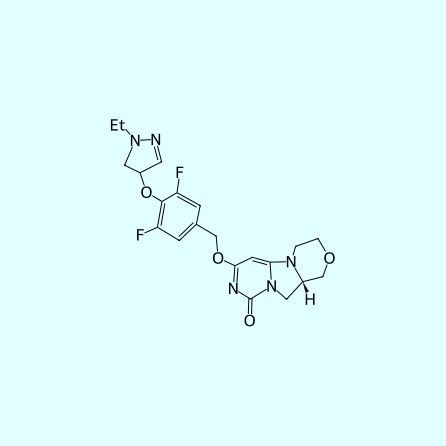 CCN1CC(Oc2c(F)cc(COc3cc4n(c(=O)n3)C[C@H]3COCCN43)cc2F)C=N1